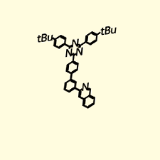 CC(C)(C)c1ccc(-c2nc(-c3ccc(-c4cccc(-c5cc6ccccc6cn5)c4)cc3)nc(-c3ccc(C(C)(C)C)cc3)n2)cc1